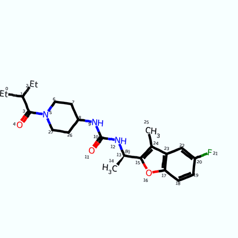 CCC(CC)C(=O)N1CCC(NC(=O)N[C@H](C)c2oc3ccc(F)cc3c2C)CC1